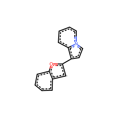 [c]1c(-c2ccn3ccccc23)oc2ccccc12